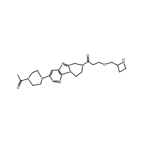 CC(=O)N1CCN(c2cnc3c(c2)nc2n3CCN(C(=O)CCOCC3CCN3)C2)CC1